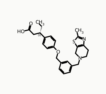 CC[C@@H](CC(=O)O)c1ccc(OCc2cccc(CN3CCc4nc(C)sc4C3)c2)cc1